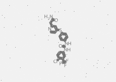 NC(=O)Cc1cc(Sc2ccc(NC(=O)Nc3ccc(Cl)c(C(F)(F)F)c3)cc2)ccn1